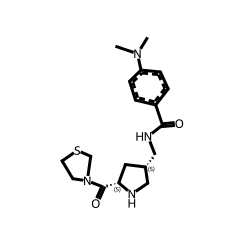 CN(C)c1ccc(C(=O)NC[C@@H]2CN[C@H](C(=O)N3CCSC3)C2)cc1